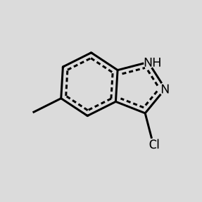 Cc1ccc2[nH]nc(Cl)c2c1